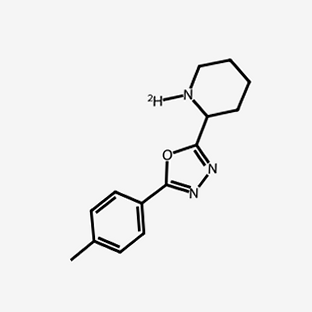 [2H]N1CCCCC1c1nnc(-c2ccc(C)cc2)o1